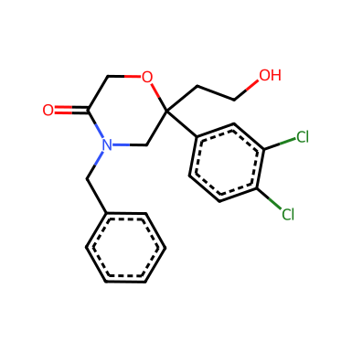 O=C1COC(CCO)(c2ccc(Cl)c(Cl)c2)CN1Cc1ccccc1